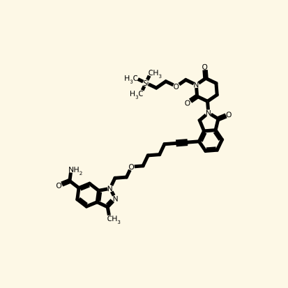 Cc1nn(CCOCCCCC#Cc2cccc3c2CN(C2CCC(=O)N(COCC[Si](C)(C)C)C2=O)C3=O)c2cc(C(N)=O)ccc12